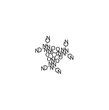 O=c1c2c3c(=O)n(-c4nc(-c5ccncc5)nc(-c5ccncc5)n4)c(=O)c3c3c(=O)n(-c4nc(-c5ccncc5)nc(-c5ccncc5)n4)c(=O)c3c2c(=O)n1-c1nc(-c2ccncc2)nc(-c2ccncc2)n1